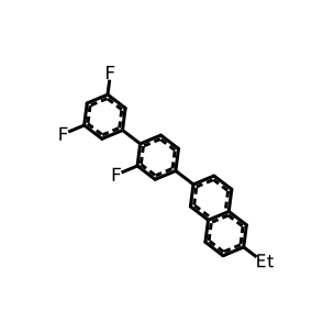 CCc1ccc2cc(-c3ccc(-c4cc(F)cc(F)c4)c(F)c3)ccc2c1